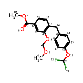 COCOc1cc(C(=O)OC)ccc1Cc1ccc(OC(F)F)cc1